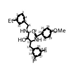 CCc1cccc(CNCC(O)C(Cc2cc(F)cc(F)c2)NC(=O)c2ccc(OC)cc2)c1